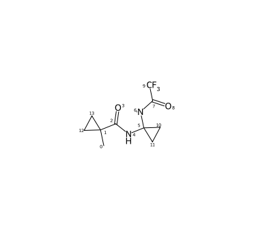 CC1(C(=O)NC2([N]C(=O)C(F)(F)F)CC2)CC1